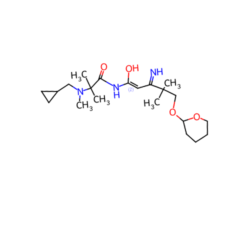 CN(CC1CC1)C(C)(C)C(=O)N/C(O)=C/C(=N)C(C)(C)COC1CCCCO1